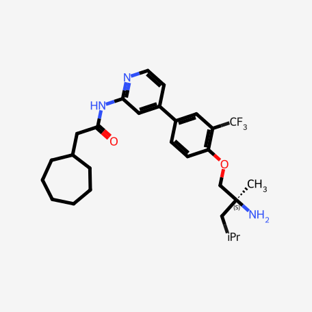 CC(C)C[C@](C)(N)COc1ccc(-c2ccnc(NC(=O)CC3CCCCCC3)c2)cc1C(F)(F)F